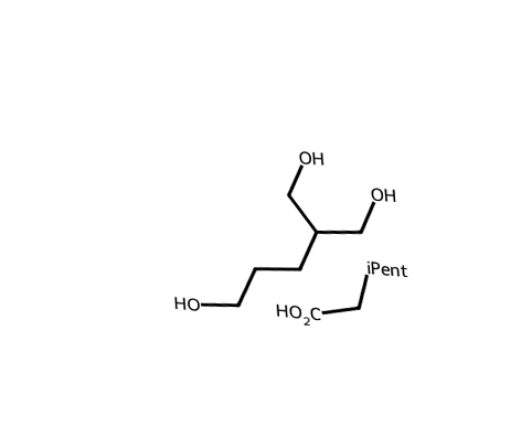 CCCC(C)CC(=O)O.OCCCC(CO)CO